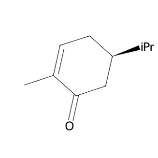 CC1=CC[C@@H](C(C)C)CC1=O